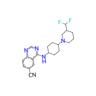 N#Cc1ccc2ncnc(NC3CCC(N4CCCC(C(F)F)C4)CC3)c2c1